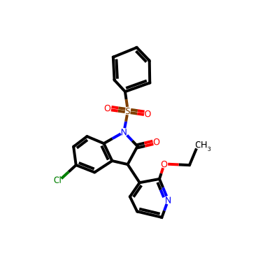 CCOc1ncccc1C1C(=O)N(S(=O)(=O)c2ccccc2)c2ccc(Cl)cc21